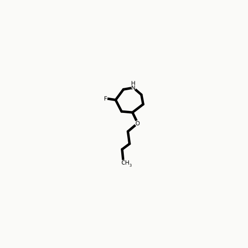 CCCCOC1CCNCC(F)C1